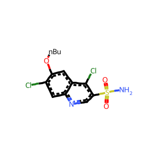 CCCCOc1cc2c(Cl)c(S(N)(=O)=O)cnc2cc1Cl